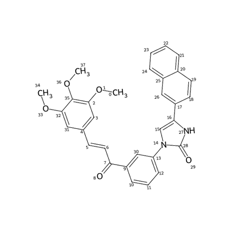 COc1cc(C=CC(=O)c2cccc(-n3cc(-c4ccc5ccccc5c4)[nH]c3=O)c2)cc(OC)c1OC